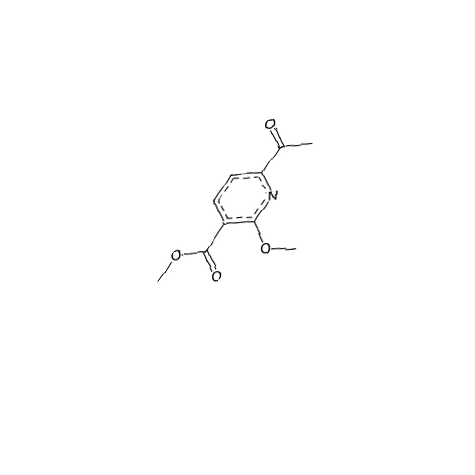 COC(=O)c1ccc(C(C)=O)nc1OC